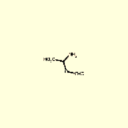 NC(OC=O)C(=O)O